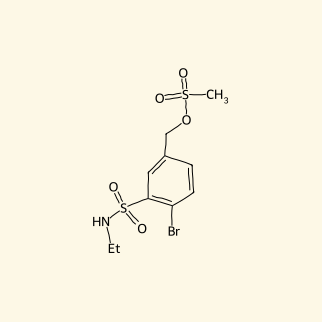 CCNS(=O)(=O)c1cc(COS(C)(=O)=O)ccc1Br